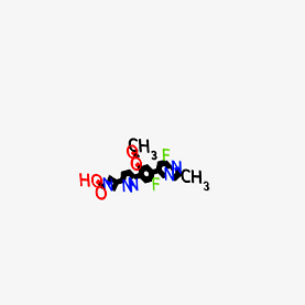 COCOc1cc(-c2cc(F)c3nc(C)cn3c2)c(F)cc1-c1ccc(C2CN(C(=O)O)C2)nn1